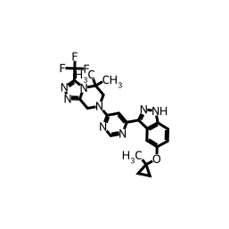 CC1(Oc2ccc3[nH]nc(-c4cc(N5Cc6nnc(C(F)(F)F)n6C(C)(C)C5)ncn4)c3c2)CC1